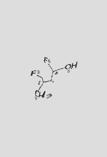 CC(F)CC(O)F